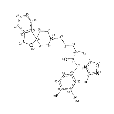 Cc1nccn1C(C(=O)N(C)CCCN1CCC2(CC1)OCc1ccccc12)c1ccc(F)c(F)c1